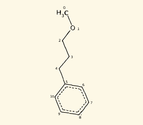 COCCCc1cc[c]cc1